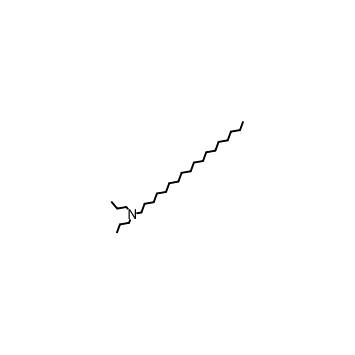 CCCCCCCCCCCCCCCCCCN(CCC)CCC